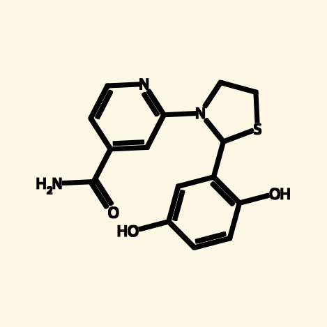 NC(=O)c1ccnc(N2CCSC2c2cc(O)ccc2O)c1